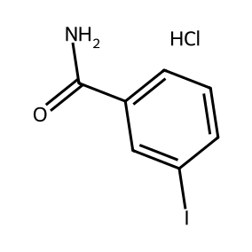 Cl.NC(=O)c1cccc(I)c1